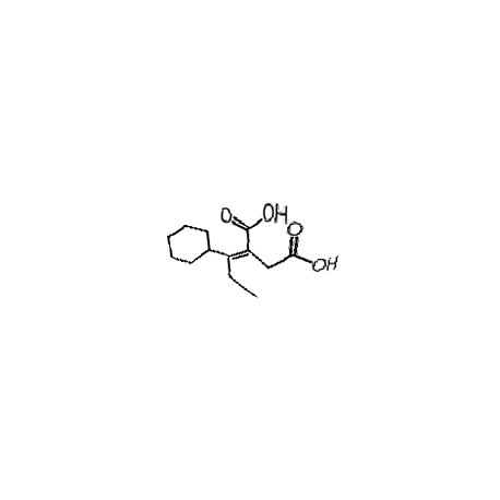 CCC(=C(CC(=O)O)C(=O)O)C1CCCCC1